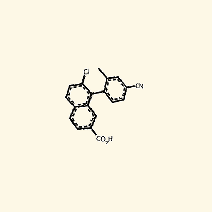 Cc1cc(C#N)ccc1-c1c(Cl)ccc2ccc(C(=O)O)cc12